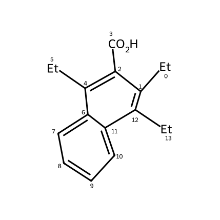 CCc1c(C(=O)O)c(CC)c2ccccc2c1CC